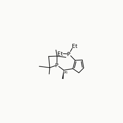 CCP(CC)C1=C([C@@H](C)P2C(C)(C)CC2(C)C)CC=C1